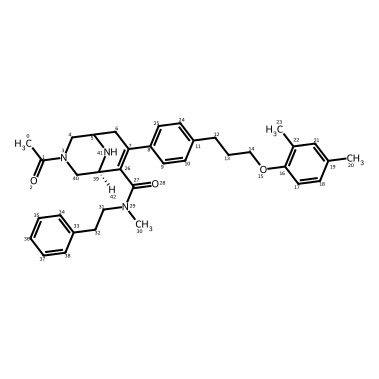 CC(=O)N1CC2CC(c3ccc(CCCOc4ccc(C)cc4C)cc3)=C(C(=O)N(C)CCc3ccccc3)[C@@H](C1)N2